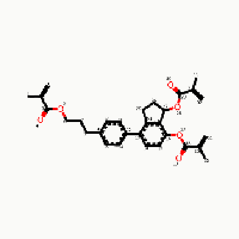 C=C(C)C(=O)OCCCc1ccc(-c2ccc(OC(=O)C(=C)C)c3c2CCC3OC(=O)C(=C)C)cc1